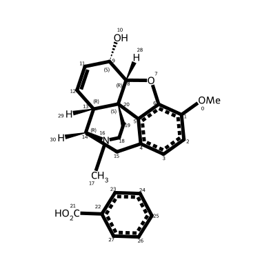 COc1ccc2c3c1O[C@H]1[C@@H](O)C=C[C@H]4[C@@H](C2)N(C)CC[C@@]341.O=C(O)c1ccccc1